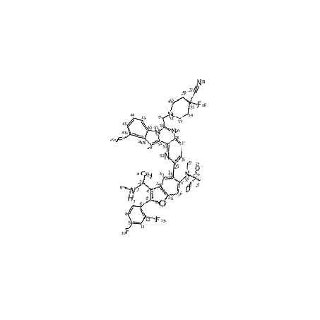 CNC(O)c1c(-c2ccc(F)cc2F)oc2cc(N(C)S(C)(=O)=O)c(-c3ccc4nc(CN5CCC(F)(C#N)CC5)n5c6cccc(F)c6cc5c4n3)cc12